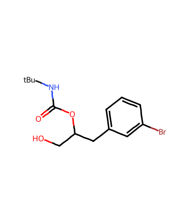 CC(C)(C)NC(=O)OC(CO)Cc1cccc(Br)c1